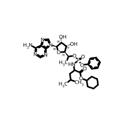 CC(C)CC(NP(=O)(Oc1ccccc1)OC(C)[C@H]1O[C@@H](n2cnc3c(N)ncnc32)[C@H](O)[C@@H]1O)C(=O)OC1CCCCC1